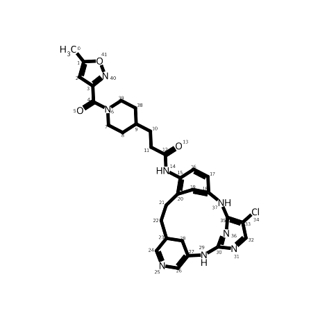 Cc1cc(C(=O)N2CCC(CCC(=O)Nc3ccc4cc3CCC3C=NC=C(C3)Nc3ncc(Cl)c(n3)N4)CC2)no1